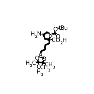 CC(C)(C)OC(=O)N1C[C@@H](N)C[C@]1(CCCCB1OC(C)(C)C(C)(C)O1)C(=O)O